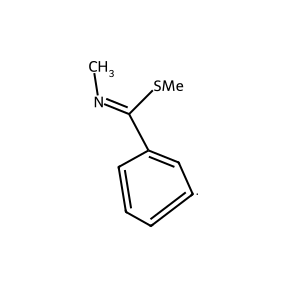 CN=C(SC)c1c[c]ccc1